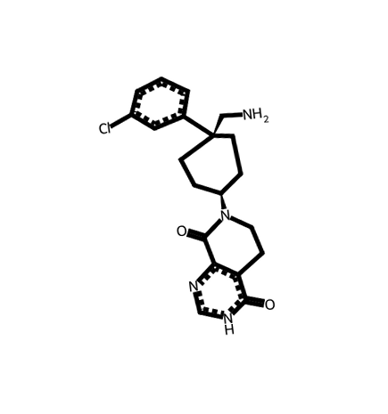 NC[C@]1(c2cccc(Cl)c2)CC[C@H](N2CCc3c(nc[nH]c3=O)C2=O)CC1